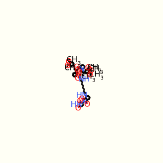 CC[C@H](C(=O)N1CCCC[C@H]1C(=O)OC(CCc1ccc(OC)c(OC)c1)c1ccccc1OCC(=O)NCCCCCCCCNc1cccc2c1C(=O)N(C1CCC(=O)NC1=O)C2=O)c1cc(OC)c(OC)c(OC)c1